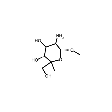 CO[C@@H]1OC(C)(CO)[C@H](O)C(O)C1N